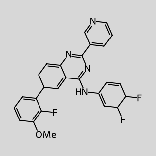 COc1cccc(C2C=c3c(NC4=CC(F)C(F)C=C4)nc(-c4cccnc4)nc3=CC2)c1F